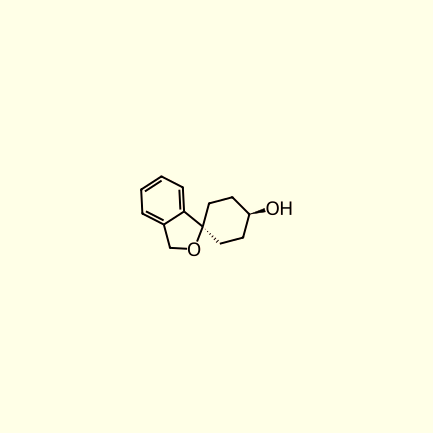 O[C@H]1CC[C@]2(CC1)OCc1ccccc12